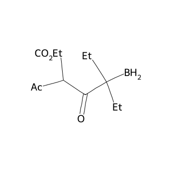 BC(CC)(CC)C(=O)C(C(C)=O)C(=O)OCC